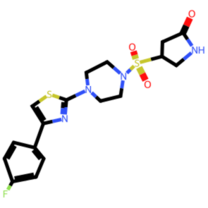 O=C1CC(S(=O)(=O)N2CCN(c3nc(-c4ccc(F)cc4)cs3)CC2)CN1